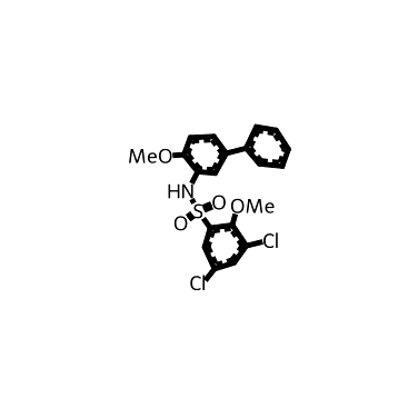 COc1ccc(-c2ccccc2)cc1NS(=O)(=O)c1cc(Cl)cc(Cl)c1OC